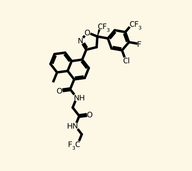 CC1C=CC=C2C(C3=NO[C@@](c4cc(Cl)c(F)c(C(F)(F)F)c4)(C(F)(F)F)C3)=CC=C(C(=O)NCC(=O)NCC(F)(F)F)C21